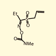 C=CCS(=O)(=O)C(CC)=NOC(=O)NC